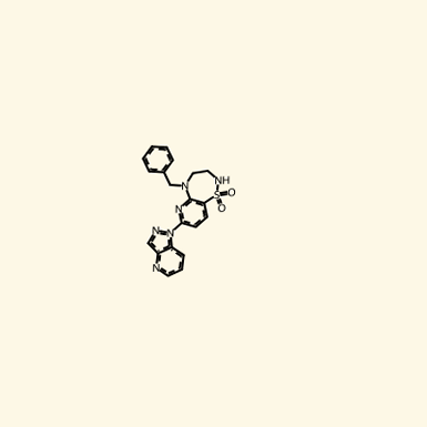 O=S1(=O)NCCN(Cc2ccccc2)c2nc(-n3ncc4ncccc43)ccc21